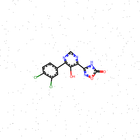 O=c1[nH]c(-c2ncnc(-c3ccc(Cl)c(Cl)c3)c2O)no1